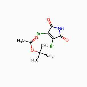 CC(=O)OC(C)(C)C.O=C1NC(=O)C(Br)=C1Br